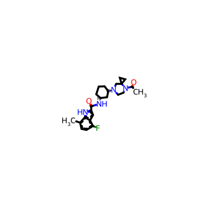 CC(=O)N1CCN([C@@H]2CCC[C@@H](NC(=O)c3cc4c(F)ccc(C)c4[nH]3)C2)CC12CC2